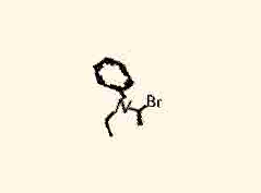 CCN(c1ccccc1)C(C)Br